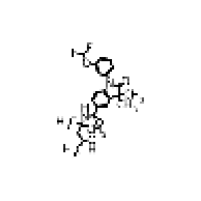 CC(O)CC(C)(C)NC(=O)c1ccc2c(c1)C(C)(C)C(=O)N2c1cccc(OC(F)F)c1